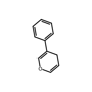 [C]1=C(c2ccccc2)CC=CO1